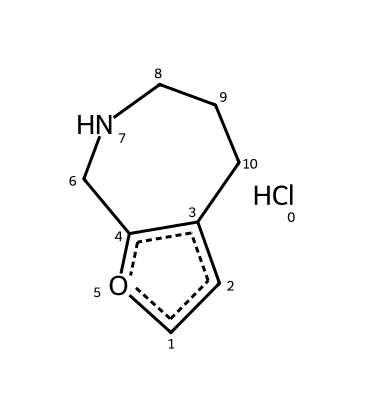 Cl.c1cc2c(o1)CNCCC2